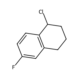 Fc1ccc2c(c1)CCCC2Cl